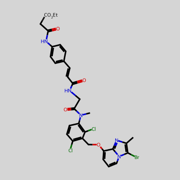 CCOC(=O)CC(=O)Nc1ccc(/C=C/C(=O)NCC(=O)N(C)c2ccc(Cl)c(COc3cccn4c(Br)c(C)nc34)c2Cl)cc1